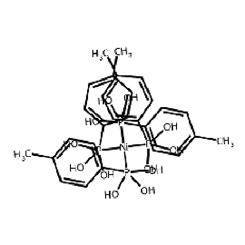 Cc1ccc([P](O)(O)(O)[Ni]([P](O)(O)(O)c2ccc(C)cc2)([P](O)(O)(O)c2ccc(C)cc2)[P](O)(O)(O)c2ccc(C)cc2)cc1